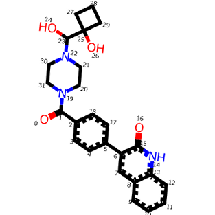 O=C(c1ccc(-c2cc3ccccc3[nH]c2=O)cc1)N1CCN(C(O)C2(O)CCC2)CC1